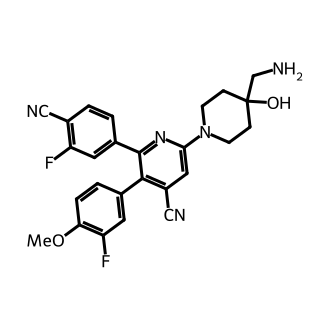 COc1ccc(-c2c(C#N)cc(N3CCC(O)(CN)CC3)nc2-c2ccc(C#N)c(F)c2)cc1F